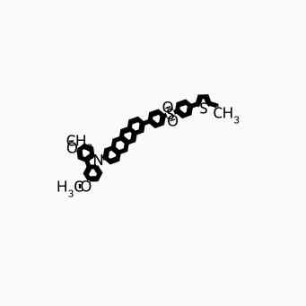 CCc1ccc(-c2ccc(S(=O)(=O)c3ccc(-c4ccc5cc6c(cc5c4)Cc4ccc(-n5c7ccc(OC)cc7c7cc(OC)ccc75)cc4C6)cc3)cc2)s1